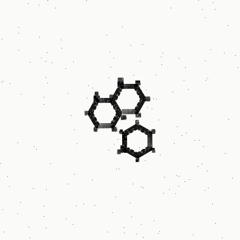 c1ccncc1.c1cnc2ncccc2c1